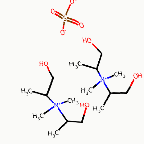 CC(CO)[N+](C)(C)C(C)CO.CC(CO)[N+](C)(C)C(C)CO.O=S(=O)([O-])[O-]